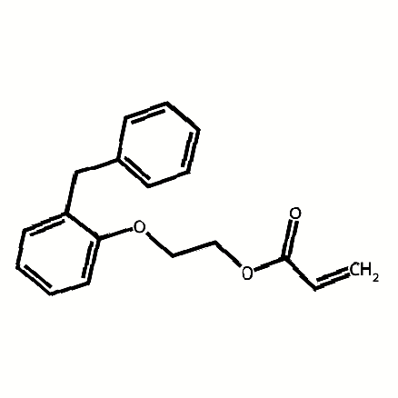 C=CC(=O)OCCOc1ccccc1Cc1ccccc1